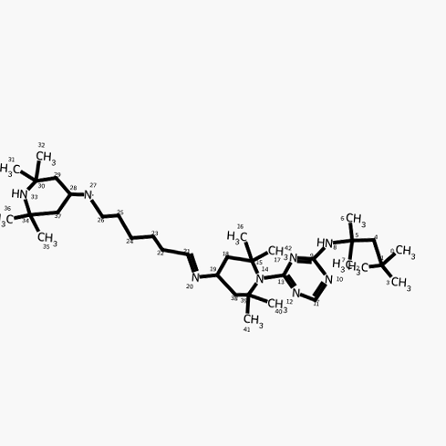 CC(C)(C)CC(C)(C)Nc1n[c]nc(N2C(C)(C)CC(N=CCCCCC[N]C3CC(C)(C)NC(C)(C)C3)CC2(C)C)n1